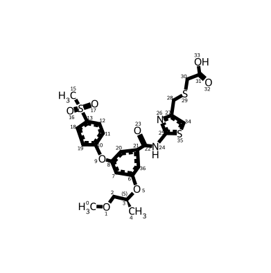 COC[C@H](C)Oc1cc(Oc2ccc(S(C)(=O)=O)cc2)cc(C(=O)Nc2nc(CSCC(=O)O)cs2)c1